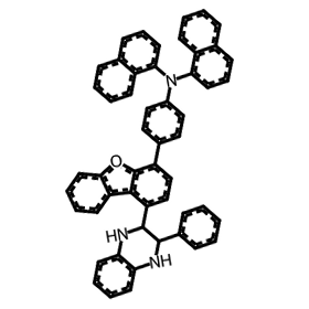 c1ccc(C2Nc3ccccc3NC2c2ccc(-c3ccc(N(c4cccc5ccccc45)c4cccc5ccccc45)cc3)c3oc4ccccc4c23)cc1